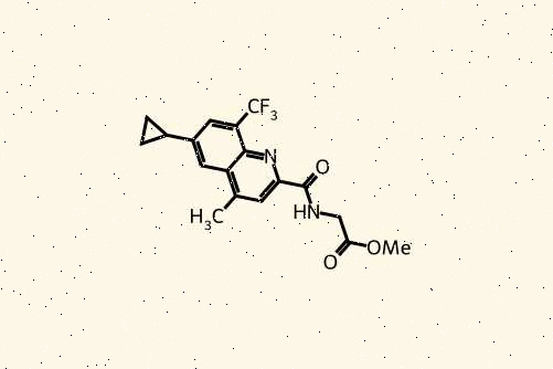 COC(=O)CNC(=O)c1cc(C)c2cc(C3CC3)cc(C(F)(F)F)c2n1